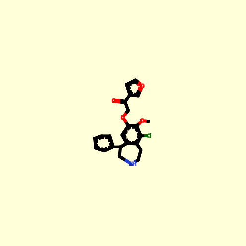 COc1c(OCC(=O)c2ccoc2)cc2c(c1Cl)CCNCC2c1ccccc1